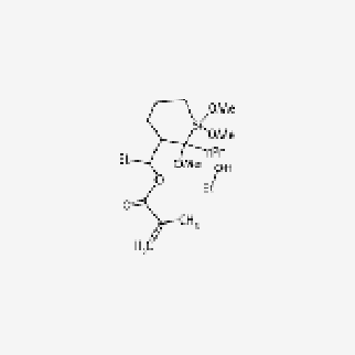 C=C(C)C(=O)OC(CC)C1CCC[Si](OC)(OC)C1(CCC)OC.CCO